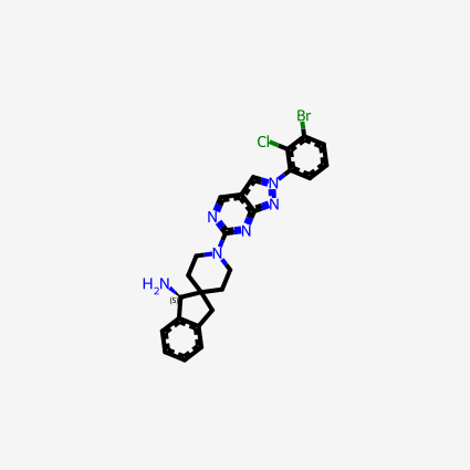 N[C@@H]1c2ccccc2CC12CCN(c1ncc3cn(-c4cccc(Br)c4Cl)nc3n1)CC2